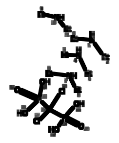 CCNCC.CCNCC.CCNCC.CCNCC.O=P(O)(O)C(Cl)(Cl)P(=O)(O)O